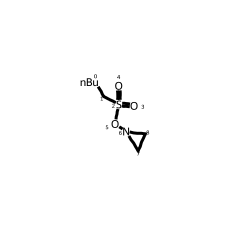 CCCCCS(=O)(=O)ON1CC1